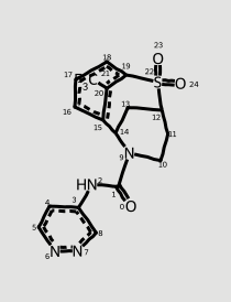 O=C(Nc1ccnnc1)N1CCC2CC1c1cccc(c1C(F)(F)F)S2(=O)=O